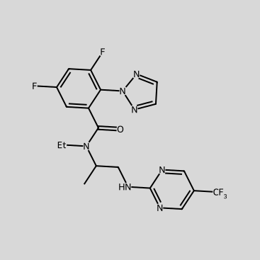 CCN(C(=O)c1cc(F)cc(F)c1-n1nccn1)C(C)CNc1ncc(C(F)(F)F)cn1